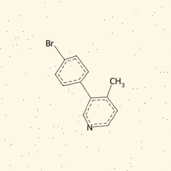 Cc1ccncc1-c1ccc(Br)cc1